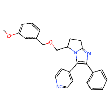 COc1cccc(COCC2CCc3nc(-c4ccccc4)c(-c4ccncc4)n32)c1